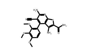 COc1ccc(-c2c(C#N)c(N)nc3sc(C(N)=O)c(N)c23)c(OC)c1OC